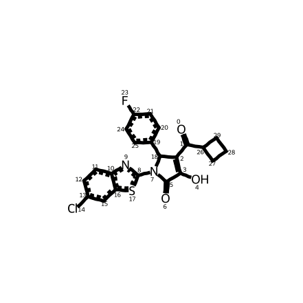 O=C(C1=C(O)C(=O)N(c2nc3ccc(Cl)cc3s2)C1c1ccc(F)cc1)C1CCC1